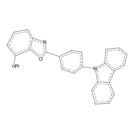 CCCc1cccc2nc(-c3ccc(-n4c5ccccc5c5ccccc54)cc3)oc12